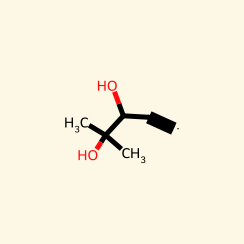 [C]#CC(O)C(C)(C)O